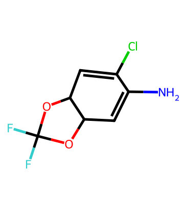 NC1=CC2OC(F)(F)OC2C=C1Cl